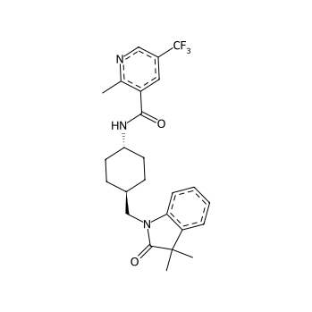 Cc1ncc(C(F)(F)F)cc1C(=O)N[C@H]1CC[C@H](CN2C(=O)C(C)(C)c3ccccc32)CC1